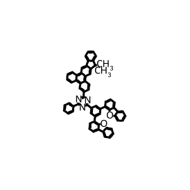 CC1(C)c2ccccc2-c2cc3c4ccccc4c4cc(-c5nc(-c6ccccc6)nc(-c6cc(-c7cccc8c7oc7ccccc78)cc(-c7cccc8c7oc7ccccc78)c6)n5)ccc4c3cc21